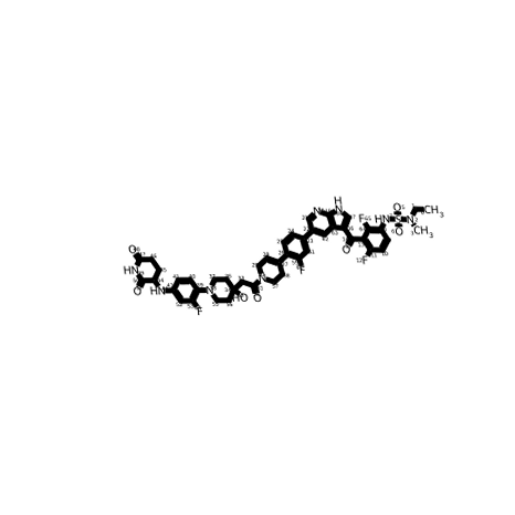 CCN(C)S(=O)(=O)Nc1ccc(F)c(C(=O)c2c[nH]c3ncc(-c4ccc(C5=CCN(C(=O)CC6(O)CCN(c7ccc(NC8CCC(=O)NC8=O)cc7F)CC6)CC5)c(F)c4)cc23)c1F